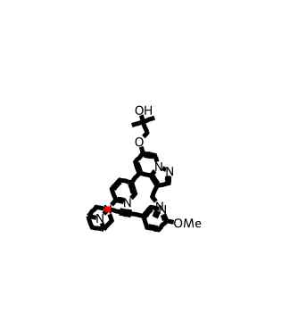 C=NCc1cnn2cc(OCC(C)(C)O)cc(-c3ccc(N4CC5CC(C4)N5CC#Cc4ccc(OC)nc4)nc3)c12